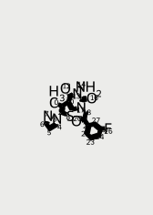 Cc1c(-n2cccn2)sc2c1c(=O)n(N)c(=O)n2CC(=O)c1cccc(F)c1